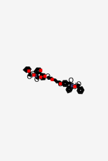 O=C(O/N=C(/C(=O)c1ccc(OCCCCCCOc2ccc(C(=O)/C(=N/OC(=O)c3ccccc3)c3ccccc3)cc2)cc1)c1ccccc1)c1ccccc1